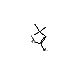 CCCCC1=CC(C)(C)ON1